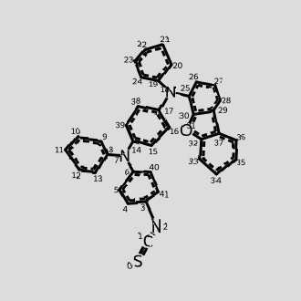 S=C=Nc1ccc(N(c2ccccc2)c2ccc(N(c3ccccc3)c3cccc4c3oc3ccccc34)cc2)cc1